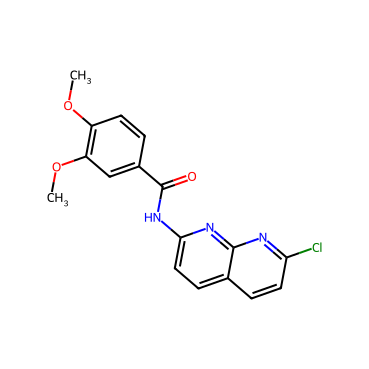 COc1ccc(C(=O)Nc2ccc3ccc(Cl)nc3n2)cc1OC